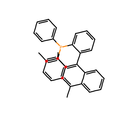 CC=C(C)c1cc(C)c2ccccc2c1-c1ccccc1P(c1ccccc1)c1ccccc1